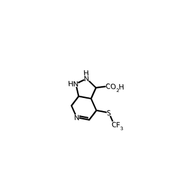 O=C(O)C1NNC2CN=CC(SC(F)(F)F)C21